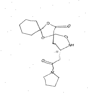 O=C(C[C@@H]1CC2(ON1)OC1(CCCCC1)OC2=O)N1CCCC1